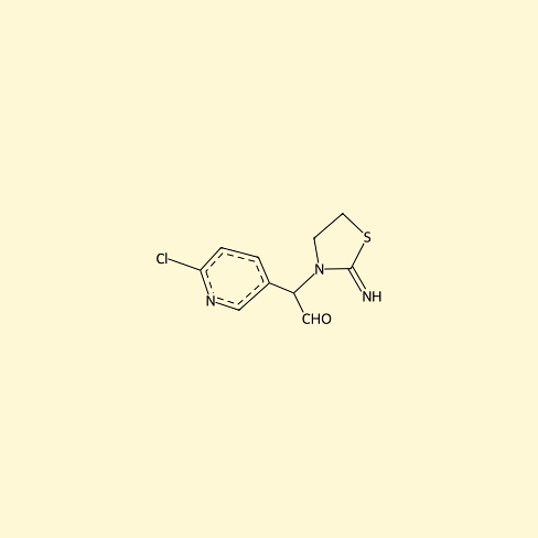 N=C1SCCN1C(C=O)c1ccc(Cl)nc1